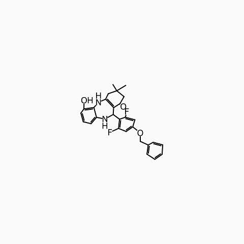 CC1(C)CC(=O)C2=C(C1)Nc1c(O)cccc1NC2c1c(F)cc(OCc2ccccc2)cc1F